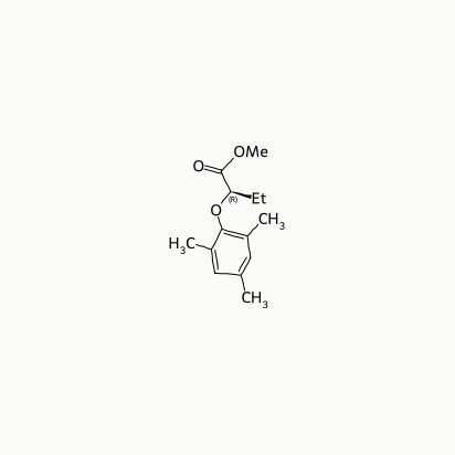 CC[C@@H](Oc1c(C)cc(C)cc1C)C(=O)OC